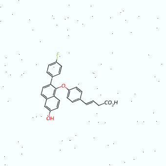 O=C(O)CC=Cc1ccc(Oc2c(-c3ccc(F)cc3)ccc3cc(O)ccc23)cc1